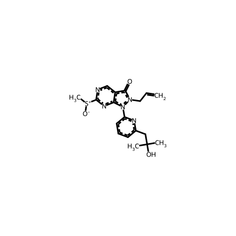 C=CCn1c(=O)c2cnc([S+](C)[O-])nc2n1-c1cccc(CC(C)(C)O)n1